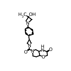 CC1(O)CN(c2ccc(C3CN(C(=O)N4CCC5OCC(=O)NC5C4)C3)cc2)C1